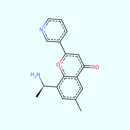 Cc1cc([C@@H](C)N)c2oc(-c3cccnc3)cc(=O)c2c1